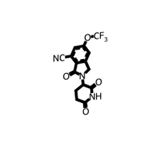 N#Cc1cc(OC(F)(F)F)cc2c1C(=O)N(C1CCC(=O)NC1=O)C2